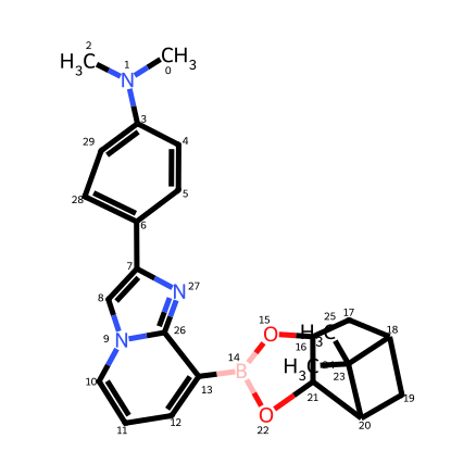 CN(C)c1ccc(-c2cn3cccc(B4OC5CC6CC(C5O4)C6(C)C)c3n2)cc1